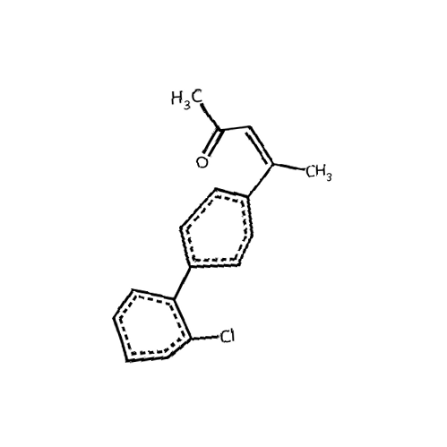 CC(=O)/C=C(/C)c1ccc(-c2ccccc2Cl)cc1